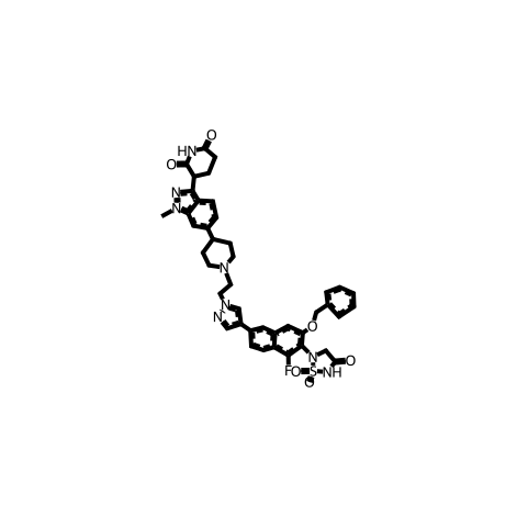 Cn1nc(C2CCC(=O)NC2=O)c2ccc(C3CCN(CCn4cc(-c5ccc6c(F)c(N7CC(=O)NS7(=O)=O)c(OCc7ccccc7)cc6c5)cn4)CC3)cc21